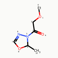 CCOCC(=O)N1N=COC1C